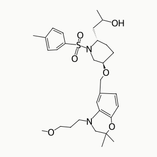 COCCCN1CC(C)(C)Oc2ccc(CO[C@@H]3CC[C@@H](CC(C)O)N(S(=O)(=O)c4ccc(C)cc4)C3)cc21